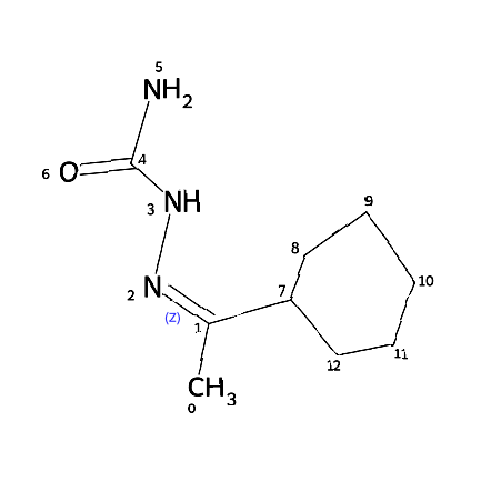 C/C(=N/NC(N)=O)C1CCCCC1